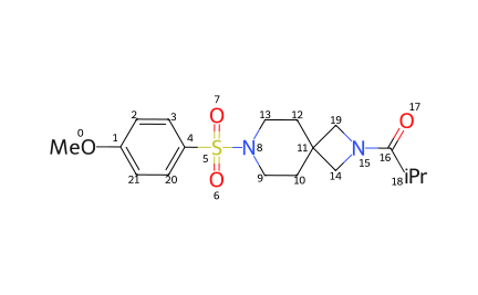 COc1ccc(S(=O)(=O)N2CCC3(CC2)CN(C(=O)C(C)C)C3)cc1